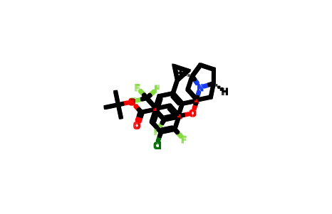 CC(C)(C)OC(=O)c1cc(C2CC2)c(CN2[C@@H]3CC[C@H]2CC(Oc2cc(C(F)(F)F)cc(Cl)c2F)C3)cc1F